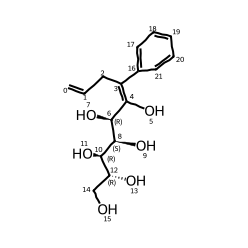 C=CCC(=C(O)[C@H](O)[C@@H](O)[C@H](O)[C@H](O)CO)c1ccccc1